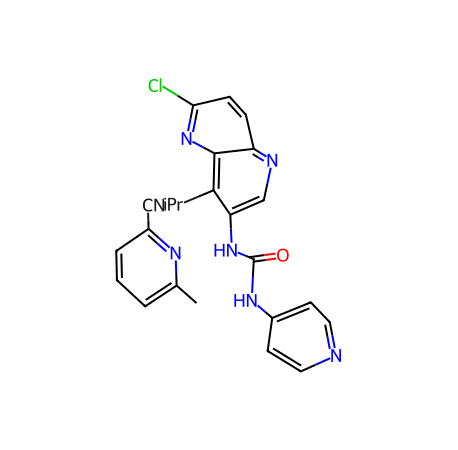 CC(C)c1c(NC(=O)Nc2ccncc2)cnc2ccc(Cl)nc12.Cc1cccc(C#N)n1